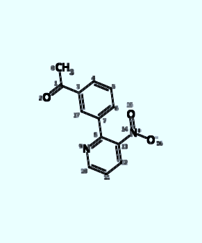 CC(=O)c1cccc(-c2ncccc2[N+](=O)[O-])c1